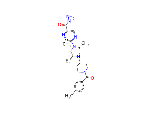 CC[C@H]1CN(c2ncc(C(=O)NN)nc2C)[C@H](C)CN1C1CCN(C(=O)c2ccc(C)cc2)CC1